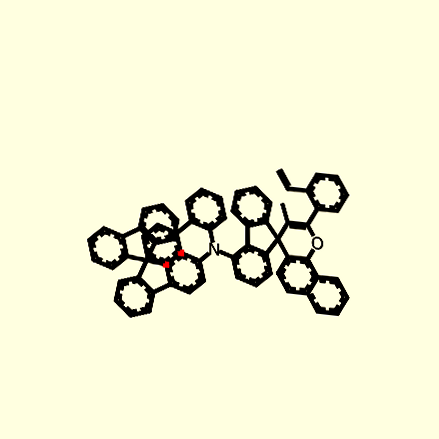 C=Cc1ccccc1C1=C(C)C2(c3ccccc3-c3c(N(c4ccc5c(c4)C4(c6ccccc6-c6ccccc64)c4ccccc4-5)c4ccccc4-c4ccccc4)cccc32)c2ccc3ccccc3c2O1